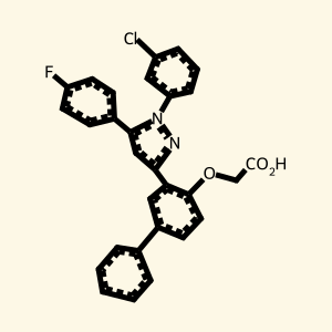 O=C(O)COc1ccc(-c2ccccc2)cc1-c1cc(-c2ccc(F)cc2)n(-c2cccc(Cl)c2)n1